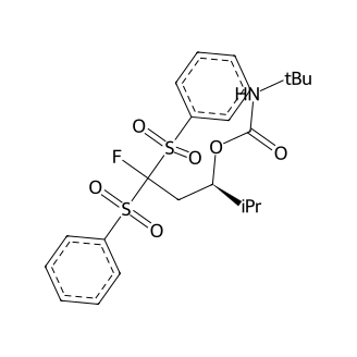 CC(C)[C@@H](CC(F)(S(=O)(=O)c1ccccc1)S(=O)(=O)c1ccccc1)OC(=O)NC(C)(C)C